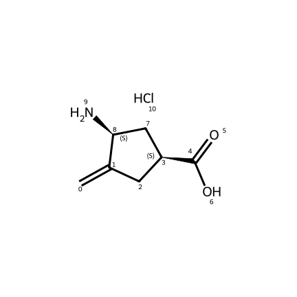 C=C1C[C@H](C(=O)O)C[C@@H]1N.Cl